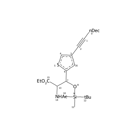 CCCCCCCCCCC#Cc1csc(C(O[Si](C)(C)C(C)(C)C)C(NC(C)=O)C(=O)OCC)c1